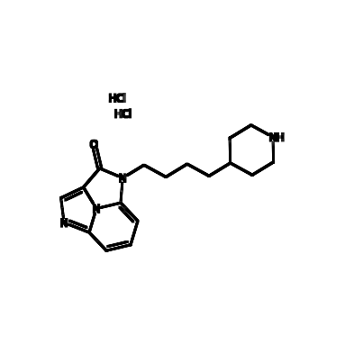 Cl.Cl.O=c1c2cnc3cccc(n1CCCCC1CCNCC1)n32